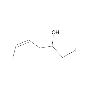 C/C=C\CC(O)CI